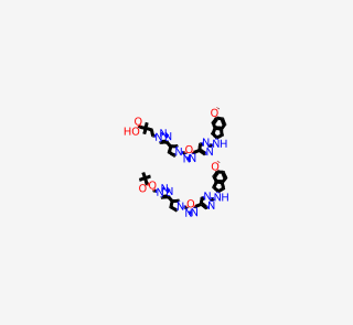 COc1ccc2c(c1)CC(Nc1ncc(-c3nnc(N4CCC(c5cn(CCC(C)(C)C(=O)O)nn5)C4)o3)cn1)C2.COc1ccc2c(c1)CC(Nc1ncc(-c3nnc(N4CCC(c5cn(COC(=O)C(C)(C)C)nn5)C4)o3)cn1)C2